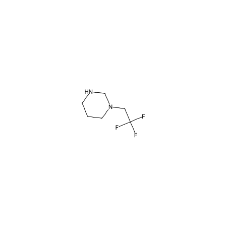 FC(F)(F)CN1CCCNC1